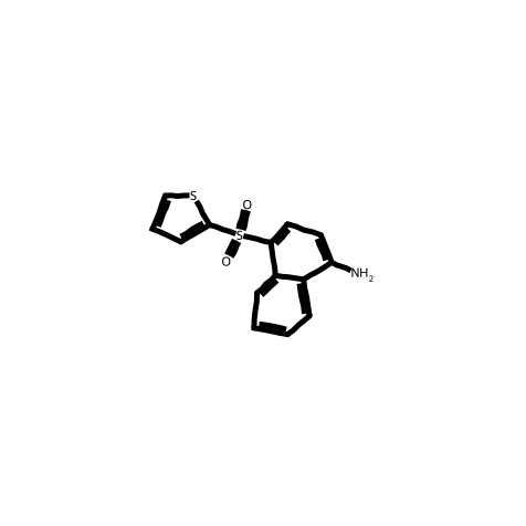 Nc1ccc(S(=O)(=O)c2cccs2)c2ccccc12